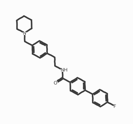 O=C(NCCc1ccc(CN2CCCCC2)cc1)c1ccc(-c2ccc(F)cc2)cc1